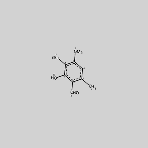 CCCCc1c(OC)cc(C)c(C=O)c1O